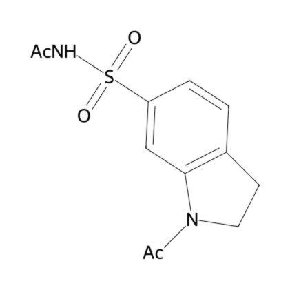 CC(=O)NS(=O)(=O)c1ccc2c(c1)N(C(C)=O)CC2